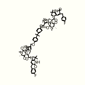 C[C@@H](C(=O)N[C@@H](Cn1cc(COc2ccc(C(C)(C)c3ccc(OCc4cn(C[C@H](NC(=O)[C@H](C)N(C)C(=O)OC(C)(C)C)C(=O)N5CC(C)(C)c6[nH]c(=O)c(Cc7ccc(F)cc7)cc65)nn4)cc3)cc2)nn1)C(=O)N1CC(C)(C)c2[nH]c(=O)c(Cc3ccc(F)cc3)cc21)N(C)C(=O)OC(C)(C)C